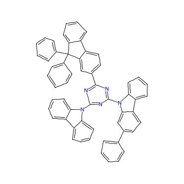 c1ccc(-c2ccc3c4ccccc4n(-c4nc(-c5ccc6c(c5)C(c5ccccc5)(c5ccccc5)c5ccccc5-6)nc(-n5c6ccccc6c6ccccc65)n4)c3c2)cc1